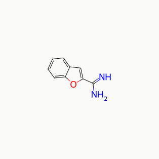 N=C(N)c1cc2ccccc2o1